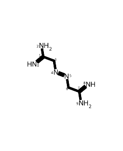 N=C(N)CN=NCC(=N)N